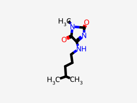 CC(C)CCCNC1=NC(=O)N(C)C1=O